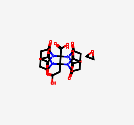 C1CO1.O=C(O)CC(N1C(=O)CCC1=O)(N1C(=O)CCC1=O)C(C(=O)O)(N1C(=O)CCC1=O)N1C(=O)CCC1=O